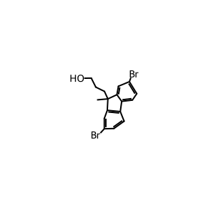 CC1(CCCO)c2cc(Br)ccc2-c2ccc(Br)cc21